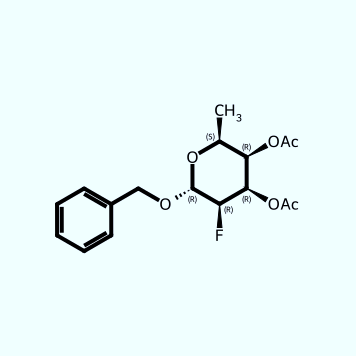 CC(=O)O[C@H]1[C@@H](F)[C@H](OCc2ccccc2)O[C@@H](C)[C@H]1OC(C)=O